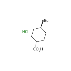 CCCC[C@H]1CC[C@H](C(=O)O)CC1.Cl